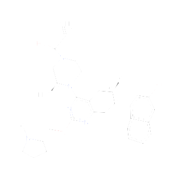 C=CC(O)N1CCN(c2nc(OC[C@@H]3CCCN3C)nc3c2C[C@@H](C)[C@H](c2cc(O)cc4ccccc24)C3)[C@@H](C)C1